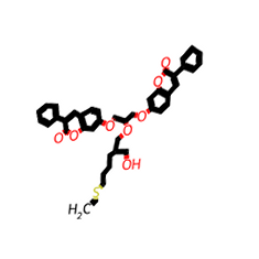 C=CSCCCCC(CO)COC(COc1ccc2cc(-c3ccccc3)c(=O)oc2c1)COc1ccc2cc(-c3ccccc3)c(=O)oc2c1